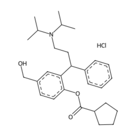 CC(C)N(CCC(c1ccccc1)c1cc(CO)ccc1OC(=O)C1CCCC1)C(C)C.Cl